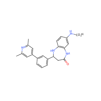 Cc1cc(-c2cccc(C3CC(=O)Nc4cc(NC(=O)O)ccc4N3)c2)cc(C)n1